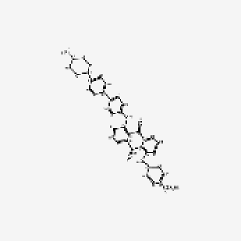 CCCC1CCC(c2ccc(-c3ccc(Sc4cccc5c4C(=O)c4cccc(Sc6ccc(C(=O)OCC)cc6)c4C5=O)cc3)cc2)CC1